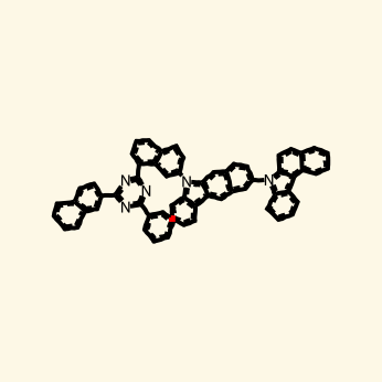 c1ccc(-c2nc(-c3ccc4ccccc4c3)nc(-c3cccc4ccc(-n5c6ccccc6c6cc7cc(-n8c9ccccc9c9c%10ccccc%10ccc98)ccc7cc65)cc34)n2)cc1